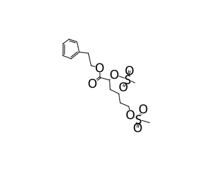 CS(=O)(=O)OCCCCC(OS(C)(=O)=O)C(=O)OCCc1ccccc1